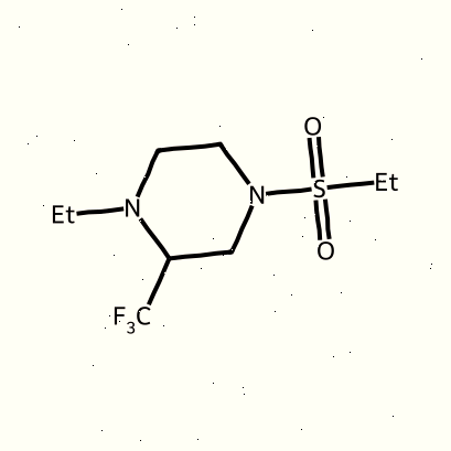 CCN1CCN(S(=O)(=O)CC)CC1C(F)(F)F